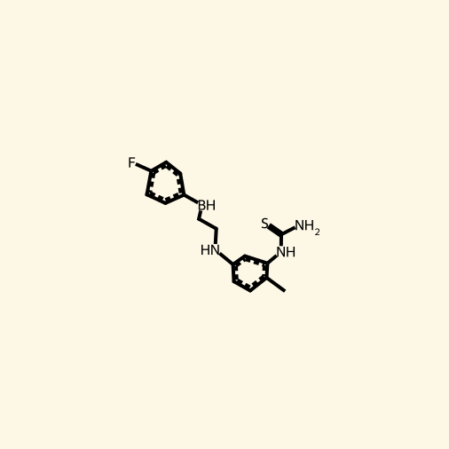 Cc1ccc(NCCBc2ccc(F)cc2)cc1NC(N)=S